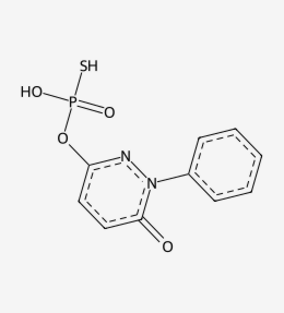 O=c1ccc(OP(=O)(O)S)nn1-c1ccccc1